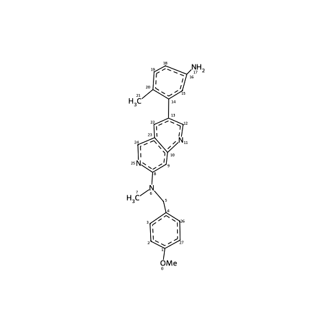 COc1ccc(CN(C)c2cc3ncc(-c4cc(N)ccc4C)cc3cn2)cc1